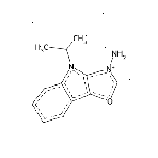 CC(C)n1c2ccccc2c2oc[n+](N)c21